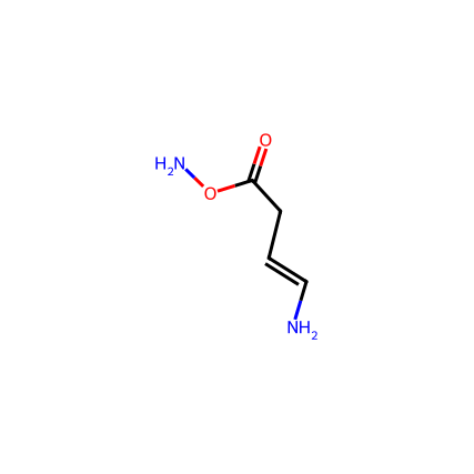 NC=CCC(=O)ON